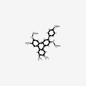 CCCCCCOc1cc2c(cc1C)c1cc(C)c(C)cc1c1cc(OCCCCCC)c(-c3ccc(OC)cc3)cc21